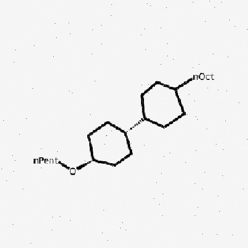 CCCCCCCCC1CCC([C@H]2CC[C@H](OCCCCC)CC2)CC1